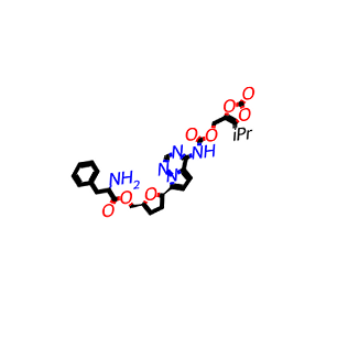 CC(C)c1oc(=O)oc1COC(=O)Nc1ncnn2c([C@H]3CC[C@@H](COC(=O)[C@@H](N)Cc4ccccc4)O3)ccc12